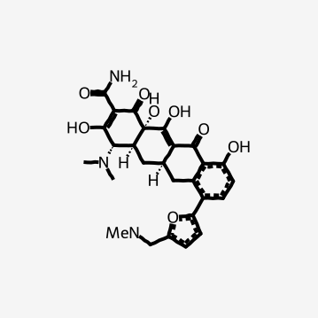 CNCc1ccc(-c2ccc(O)c3c2C[C@H]2C[C@H]4[C@H](N(C)C)C(O)=C(C(N)=O)C(=O)[C@@]4(O)C(O)=C2C3=O)o1